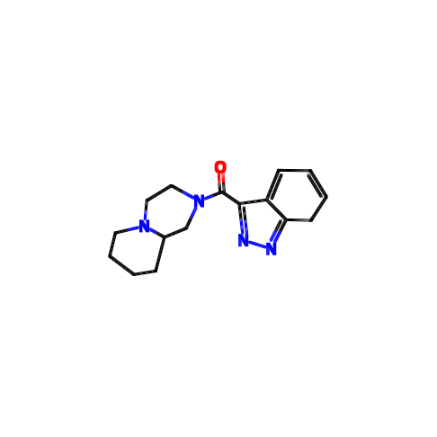 O=C(C1=NN=C2CC=CC=C21)N1CCN2CCCCC2C1